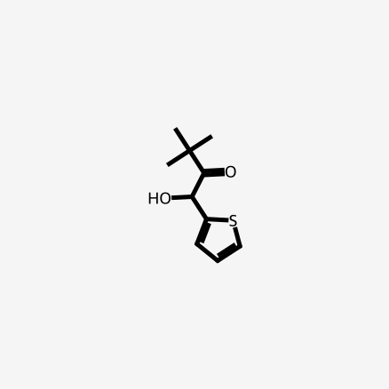 CC(C)(C)C(=O)C(O)c1cccs1